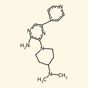 CN(C)C1CCN(c2nc(-c3ccncc3)cnc2N)CC1